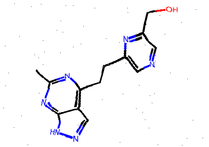 Cc1nc(CCc2cncc(CO)n2)c2cn[nH]c2n1